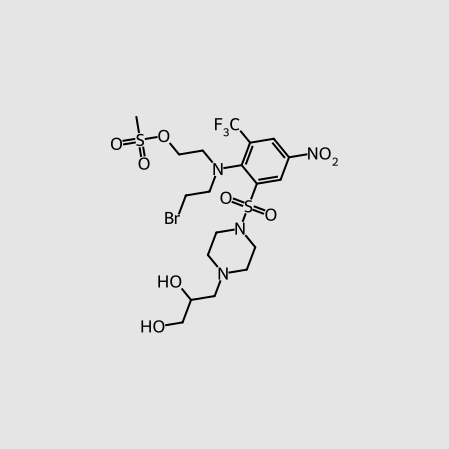 CS(=O)(=O)OCCN(CCBr)c1c(C(F)(F)F)cc([N+](=O)[O-])cc1S(=O)(=O)N1CCN(CC(O)CO)CC1